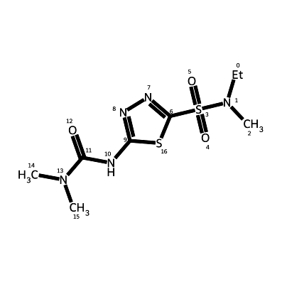 CCN(C)S(=O)(=O)c1nnc(NC(=O)N(C)C)s1